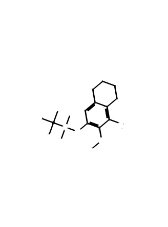 COc1c(O[Si](C)(C)C(C)(C)C)cc2c(c1O)CCCC2